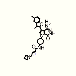 Cc1ccc2oc(-c3cn(C4CCC(NC(=O)/C=C/CN5CCC5)CC4)c4c(=O)[nH]nc(N)c34)c(C)c2c1